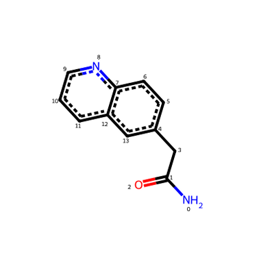 NC(=O)Cc1ccc2ncccc2c1